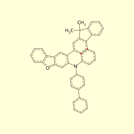 CC1(C)c2ccccc2-c2ccc(-c3cc4c(cc3N(c3ccccc3)c3ccc(-c5ccccc5)cc3)oc3ccccc34)cc21